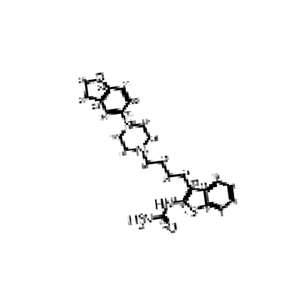 NC(=O)Nc1sc2ccccc2c1CCCCN1CCN(c2ccc3c(c2)CCO3)CC1